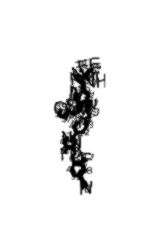 N#Cc1ccc(COc2nc(C3CCN(Cc4nc5cc(-c6nnc(C(F)(F)F)[nH]6)ncc5n4C[C@]4([SiH3])CCO4)CC3)ncc2F)c(F)c1